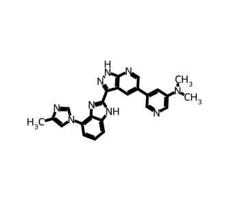 Cc1cn(-c2cccc3[nH]c(-c4n[nH]c5ncc(-c6cncc(N(C)C)c6)cc45)nc23)cn1